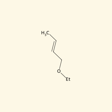 CC=CCOCC